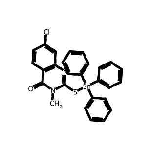 Cn1c([S][Sn]([c]2ccccc2)([c]2ccccc2)[c]2ccccc2)nc2cc(Cl)ccc2c1=O